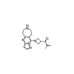 CN(C)C(=O)C1CN(c2c3c(nc4ccnn24)CCNCC3)C1